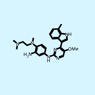 COc1cnc(Nc2ccc(N(C)CCN(C)C)c(N)c2)nc1-c1c[nH]c2c(C)cccc12